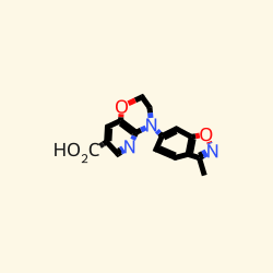 Cc1noc2cc(N3CCOc4cc(C(=O)O)cnc43)ccc12